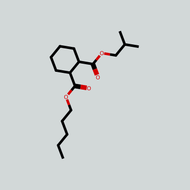 CCCCCOC(=O)C1CCCCC1C(=O)OCC(C)C